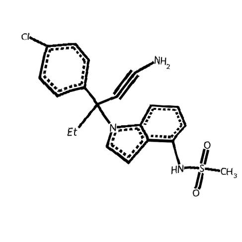 CCC(C#CN)(c1ccc(Cl)cc1)n1ccc2c(NS(C)(=O)=O)cccc21